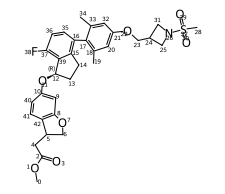 COC(=O)CC1COc2cc(O[C@@H]3CCc4c(-c5c(C)cc(OCC6CN(S(C)(=O)=O)C6)cc5C)ccc(F)c43)ccc21